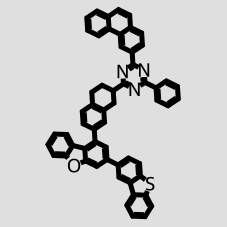 c1ccc(-c2nc(-c3ccc4ccc5ccccc5c4c3)nc(C3CCc4ccc(-c5cc(-c6ccc7sc8ccccc8c7c6)cc6oc7ccccc7c56)cc4C3)n2)cc1